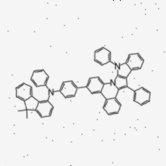 CC1(C)c2ccccc2-c2c(N(c3ccccc3)c3ccc(-c4ccc5c(c4)c4ccccc4c4c(-c6ccccc6)c6c7ccccc7n(-c7ccccc7)c6n54)cc3)cccc21